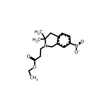 CCOC(=O)CCN1Cc2cc([N+](=O)[O-])ccc2CC1(C)C